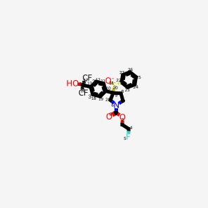 O=C(OCCF)N1CCC(c2ccc(C(O)(C(F)(F)F)C(F)(F)F)cc2)([S+]([O-])c2ccccc2)C1